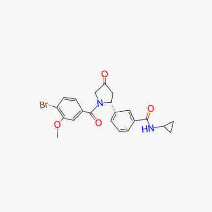 COc1cc(C(=O)N2CC(=O)C[C@@H]2c2cccc(C(=O)NC3CC3)c2)ccc1Br